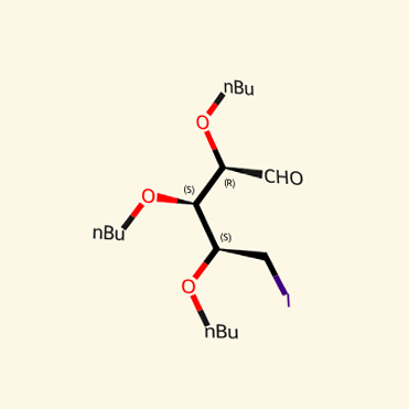 CCCCO[C@@H]([C@H](C=O)OCCCC)[C@@H](CI)OCCCC